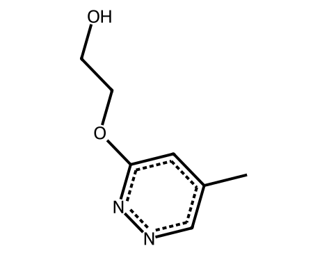 Cc1cnnc(OCCO)c1